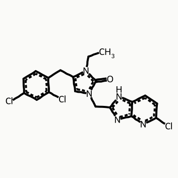 CCn1c(Cc2ccc(Cl)cc2Cl)cn(Cc2nc3nc(Cl)ccc3[nH]2)c1=O